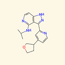 CC(C)Nc1nccc2[nH]nc(-c3cc(C4CCOC4)ccn3)c12